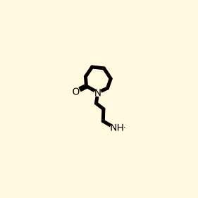 [NH]CCCN1CCCCCC1=O